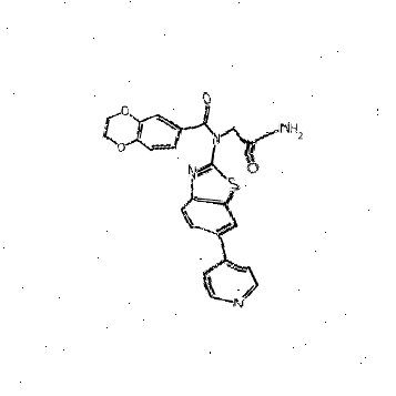 NC(=O)CN(C(=O)c1ccc2c(c1)OCCO2)c1nc2ccc(-c3ccncc3)cc2s1